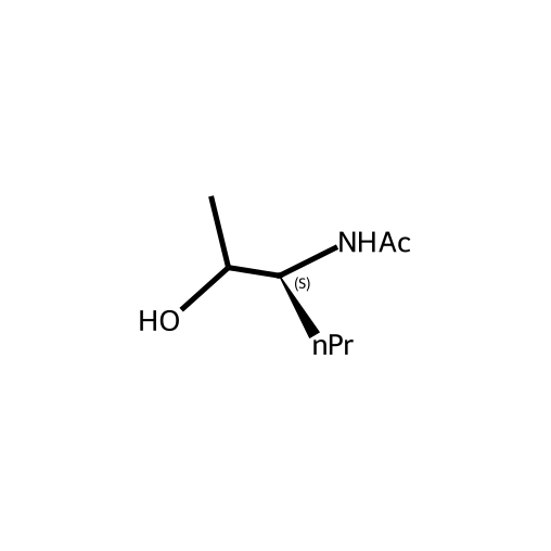 CCC[C@H](NC(C)=O)C(C)O